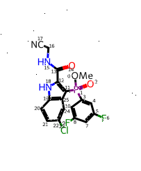 COP(=O)(c1cc(F)cc(F)c1)c1c(C(=O)NCC#N)[nH]c2ccc(Cl)cc12